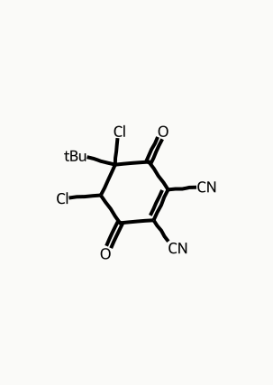 CC(C)(C)C1(Cl)C(=O)C(C#N)=C(C#N)C(=O)C1Cl